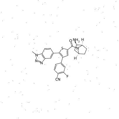 Cn1nnc2cc(-c3sc(C(=O)N4[C@H]5CC[C@@H]4[C@H](N)C5)cc3-c3ccc(C#N)c(F)c3)ccc21